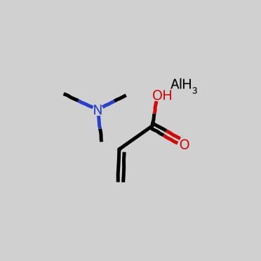 C=CC(=O)O.CN(C)C.[AlH3]